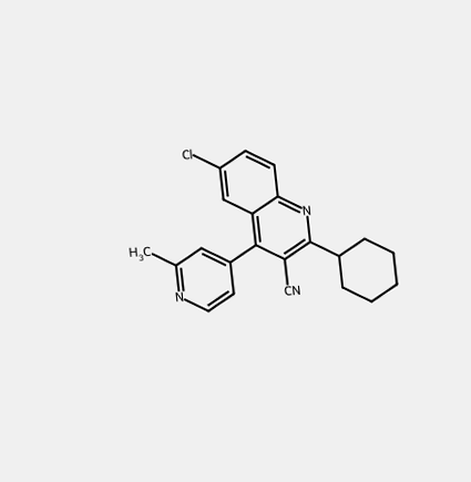 Cc1cc(-c2c(C#N)c(C3CCCCC3)nc3ccc(Cl)cc23)ccn1